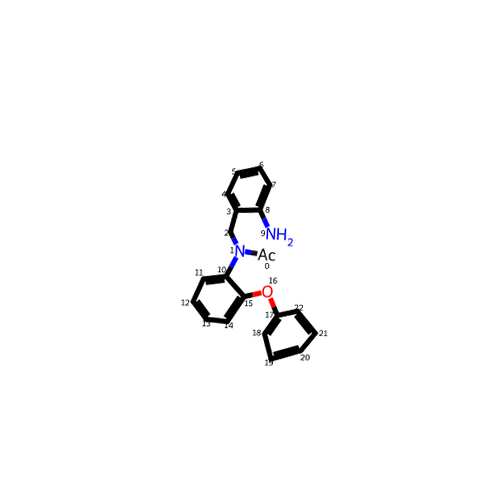 CC(=O)N(Cc1ccccc1N)c1ccccc1Oc1ccccc1